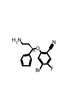 N#Cc1cc(F)c(Br)cc1O[C@H](CCN)c1ccccc1